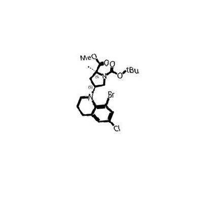 COC(=O)[C@]1(C)C[C@H](N2CCCc3cc(Cl)cc(Br)c32)CN1C(=O)OC(C)(C)C